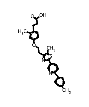 Cc1ccc(-c2ccc(-c3nc(CCOc4ccc(CCC(=O)O)c(C)c4)c(C)s3)cn2)cc1